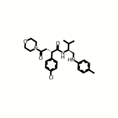 Cc1ccc(NC[C@@H](NC(=O)[C@@H](CC(=O)N2CCOCC2)c2ccc(Cl)cc2)C(C)C)cc1